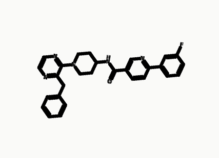 O=C(NC1CCN(c2nccnc2Cc2ccccc2)CC1)c1ccc(-c2cccc(F)c2)nc1